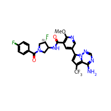 COc1ncc(-c2cc(C(F)(F)F)c3c(N)ncnn23)cc1C(=O)NC1CN(C(=O)c2ccc(F)cc2)C[C@@H]1F